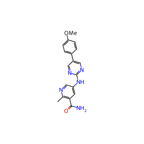 COc1ccc(-c2cnc(Nc3cnc(C)c(C(N)=O)c3)nc2)cc1